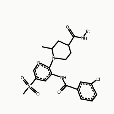 CCNC(=O)C1CCN(c2ncc(S(C)(=O)=O)cc2NC(=O)c2cccc(Cl)c2)C(C)C1